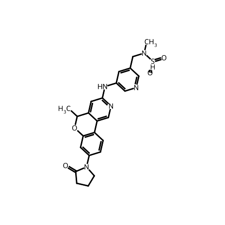 CC1Oc2cc(N3CCCC3=O)ccc2-c2cnc(Nc3cncc(CN(C)[SH](=O)=O)c3)cc21